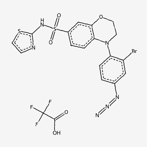 O=C(O)C(F)(F)F.[N-]=[N+]=Nc1ccc(N2CCOc3cc(S(=O)(=O)Nc4nccs4)ccc32)c(Br)c1